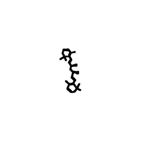 CC1=C(/C=C/C(=O)CC(=O)/C=C/C2=C(C)C=CCC2(C)C)C(C)(C)CC=C1